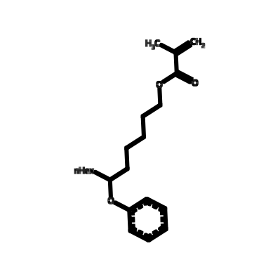 C=C(C)C(=O)OCCCCCC(CCCCCC)Oc1ccccc1